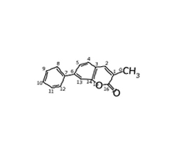 Cc1cc2ccc(-c3ccccc3)cc2oc1=O